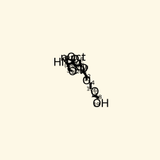 CCCCCCCCN[C@H]1CO[C@@H]2[C@@H]1OC[C@H]2OCCOCCOCCO